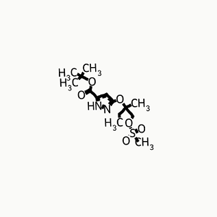 CCC(C)(COS(C)(=O)=O)Oc1cc(C(=O)OC(C)(C)C)[nH]n1